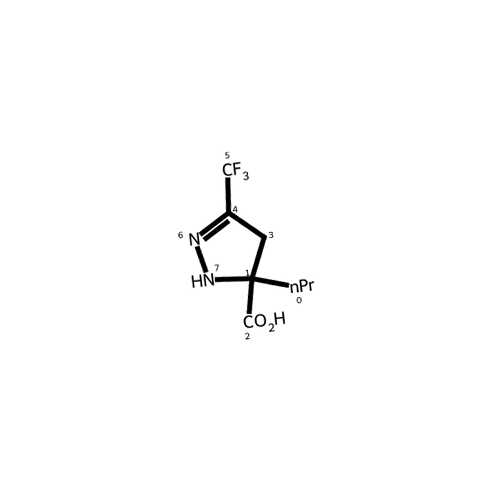 CCCC1(C(=O)O)CC(C(F)(F)F)=NN1